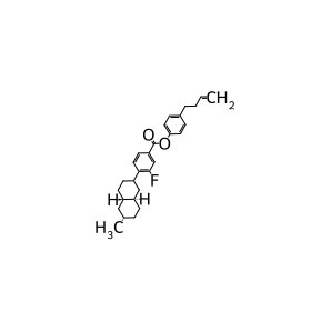 C=CCCc1ccc(OC(=O)c2ccc(C3CC[C@H]4C[C@@H](C)CC[C@@H]4C3)c(F)c2)cc1